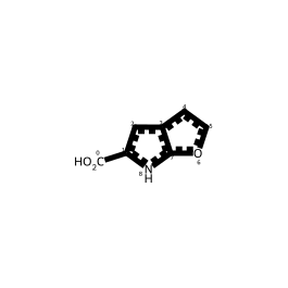 O=C(O)c1cc2ccoc2[nH]1